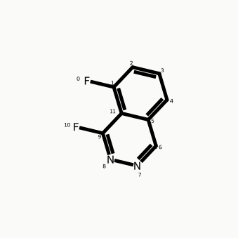 Fc1cccc2[c]nnc(F)c12